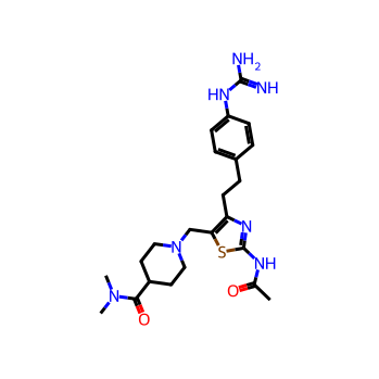 CC(=O)Nc1nc(CCc2ccc(NC(=N)N)cc2)c(CN2CCC(C(=O)N(C)C)CC2)s1